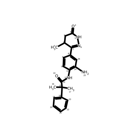 CC1CC(=O)NN=C1c1ccc(NC(=O)C(C)(C)c2ccccc2)c(N)c1